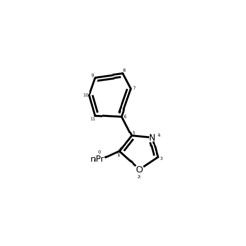 CCCc1ocnc1-c1ccccc1